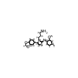 COc1cc(C)ccc1/N=c1\scc(-c2ccc3c(c2)OCO3)n1CCCN